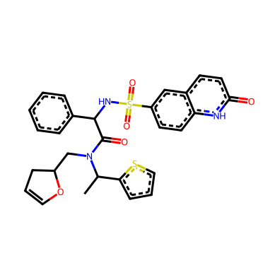 CC(c1cccs1)N(CC1CC=CO1)C(=O)C(NS(=O)(=O)c1ccc2[nH]c(=O)ccc2c1)c1ccccc1